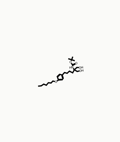 CCCCCCCOc1ccc(CCCCC(CO)(CO)NC(=O)OC(C)(C)C)cc1